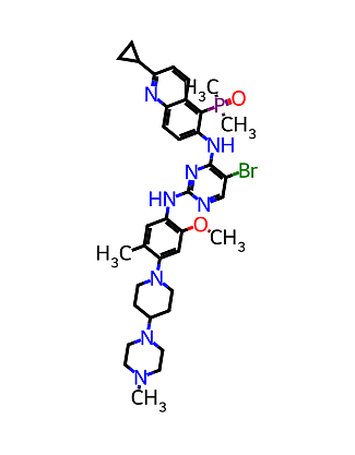 COc1cc(N2CCC(N3CCN(C)CC3)CC2)c(C)cc1Nc1ncc(Br)c(Nc2ccc3nc(C4CC4)ccc3c2P(C)(C)=O)n1